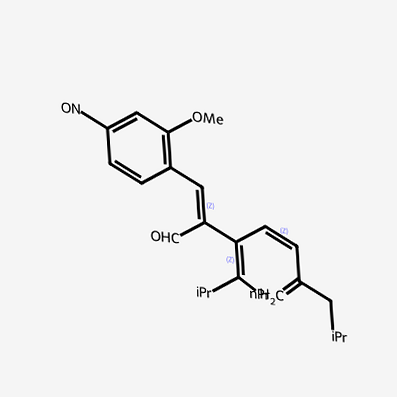 C=C(\C=C/C(C(/C=O)=C/c1ccc(N=O)cc1OC)=C(\CCC)C(C)C)CC(C)C